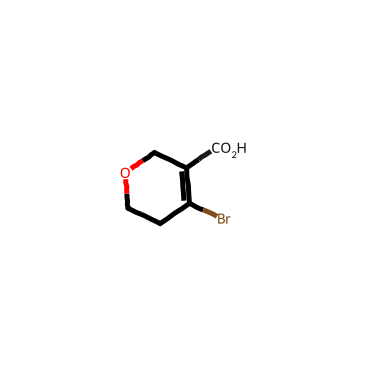 O=C(O)C1=C(Br)CCOC1